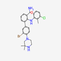 Cc1c(Cl)cccc1Nc1c(C(N)=O)cccc1-c1ccc(N2CCNC(C)(C)C2)c(Br)c1